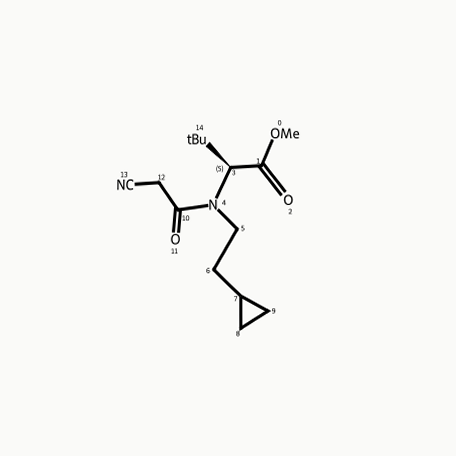 COC(=O)[C@@H](N(CCC1CC1)C(=O)CC#N)C(C)(C)C